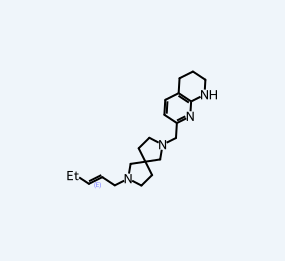 CC/C=C/CN1CCC2(CCN(Cc3ccc4c(n3)NCCC4)C2)C1